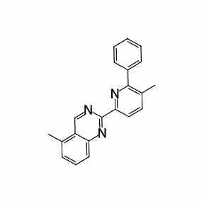 Cc1ccc(-c2ncc3c(C)cccc3n2)nc1-c1ccccc1